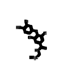 CCc1cc(Oc2c(Cl)cc(C(=O)NCC(=O)O)cc2Cl)ccc1O